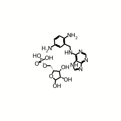 Nc1ccc(N)c(CNc2ncnc3nc[nH]c23)c1.O=P(O)(O)OC[C@H]1OC(O)[C@H](O)[C@@H]1O